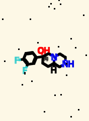 O[C@@]1(c2ccc(F)c(F)c2)CC[C@H]2CNCCN2C1